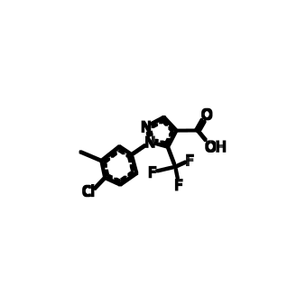 Cc1cc(-n2ncc(C(=O)O)c2C(F)(F)F)ccc1Cl